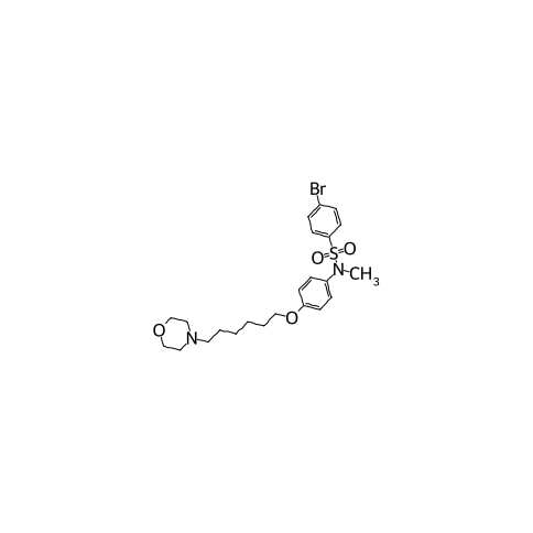 CN(c1ccc(OCCCCCCN2CCOCC2)cc1)S(=O)(=O)c1ccc(Br)cc1